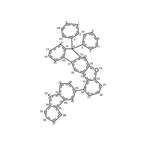 c1ccc(C2(c3ccccc3)c3ccccc3-c3cc4c(cc32)oc2cccc(-c3ccc5sc6ccccc6c5c3)c24)cc1